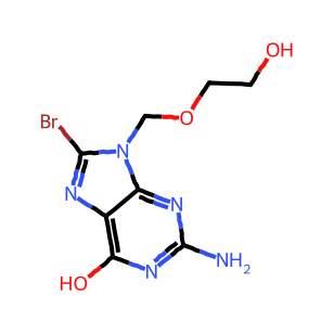 Nc1nc(O)c2nc(Br)n(COCCO)c2n1